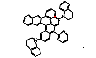 C1=CC2=C(CC1)N(c1ccc3c(-c4ccccc4)c4cc(N5CCCc6ccccc65)ccc4c(-c4cc5ccccc5cc4-c4ccccc4)c3c1)CCC2